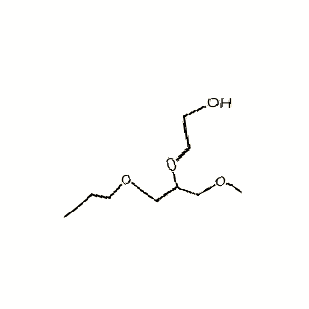 CCCOCC(COC)OCCO